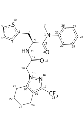 CN(C(=O)[C@H](Cc1cccs1)NC(=O)Cn1nc(C(F)(F)F)c2c1CCCC2)c1ccccc1